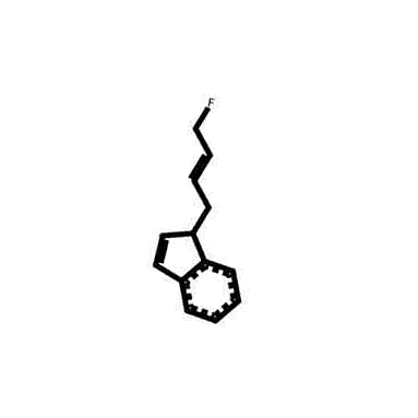 FCC=CCC1[C]=Cc2ccccc21